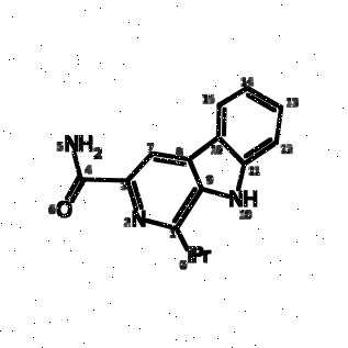 CC(C)c1nc(C(N)=O)cc2c1[nH]c1ccccc12